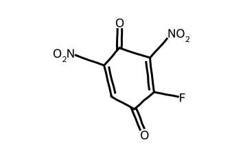 O=C1C=C([N+](=O)[O-])C(=O)C([N+](=O)[O-])=C1F